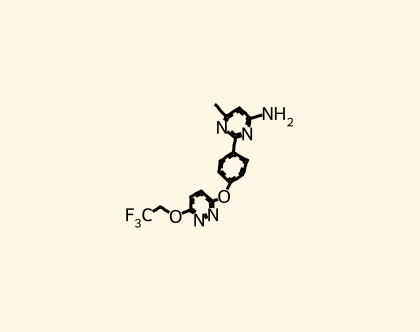 Cc1cc(N)nc(-c2ccc(Oc3ccc(OCC(F)(F)F)nn3)cc2)n1